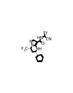 CCC(C#N)NC(=O)c1cnn2c1N[C@H](c1ccccc1)C[C@@H]2C(F)(F)F